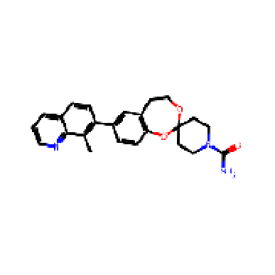 Cc1c(-c2ccc3c(c2)CCOC2(CCN(C(N)=O)CC2)O3)ccc2cccnc12